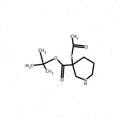 CC(=O)SC1(C(=O)OC(C)(C)C)CCCNC1